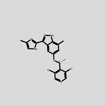 Cc1c[nH]c(-c2n[nH]c3c(C)cc(O[C@H](C)c4c(Cl)cncc4Cl)cc23)n1